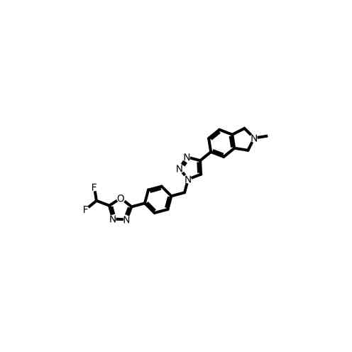 CN1Cc2ccc(-c3cn(Cc4ccc(-c5nnc(C(F)F)o5)cc4)nn3)cc2C1